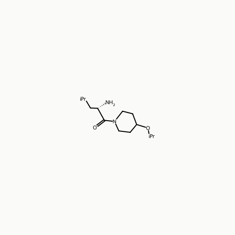 CC(C)C[C@H](N)C(=O)N1CCC(OC(C)C)CC1